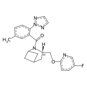 Cc1ccc(-n2nccn2)c(C(=O)N2C3CC(C3)C[C@H]2COc2ccc(F)cn2)c1